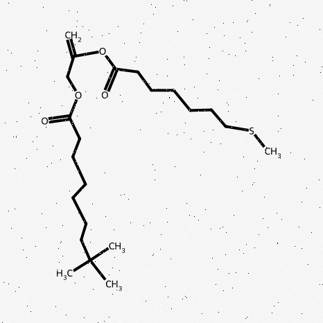 C=C(COC(=O)CCCCCCC(C)(C)C)OC(=O)CCCCCCSC